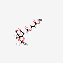 CC[C@@]12COC(O1)[C@H](NC(=O)OCCC(=O)OC(C)(C)C)C1OC(C)(C)O[C@H]12